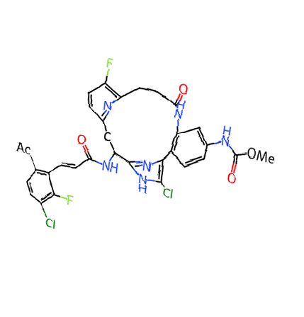 COC(=O)Nc1ccc2c(c1)NC(=O)CCc1nc(ccc1F)CC(NC(=O)/C=C/c1c(C(C)=O)ccc(Cl)c1F)c1nc-2c(Cl)[nH]1